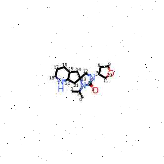 CC(C)N1C(=O)N([C@@H]2CCOC2)CC12CC1CCCNC1C2